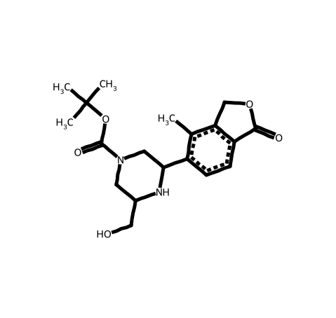 Cc1c(C2CN(C(=O)OC(C)(C)C)CC(CO)N2)ccc2c1COC2=O